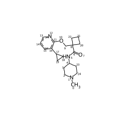 CN1CCC(NC(=O)C2(COc3ncccc3C3CC3)CCC2)CC1